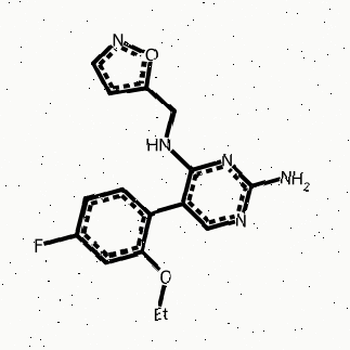 CCOc1cc(F)ccc1-c1cnc(N)nc1NCc1ccno1